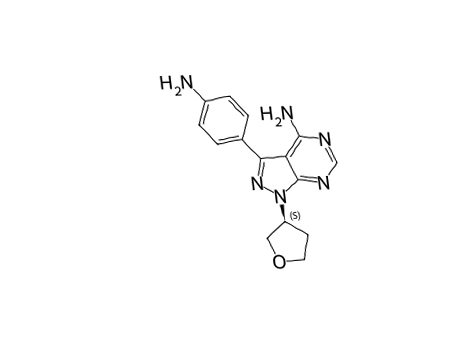 Nc1ccc(-c2nn([C@H]3CCOC3)c3ncnc(N)c23)cc1